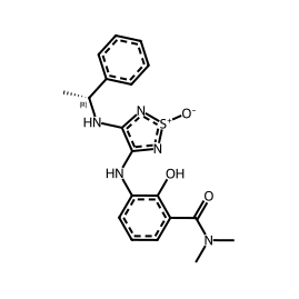 C[C@@H](Nc1n[s+]([O-])nc1Nc1cccc(C(=O)N(C)C)c1O)c1ccccc1